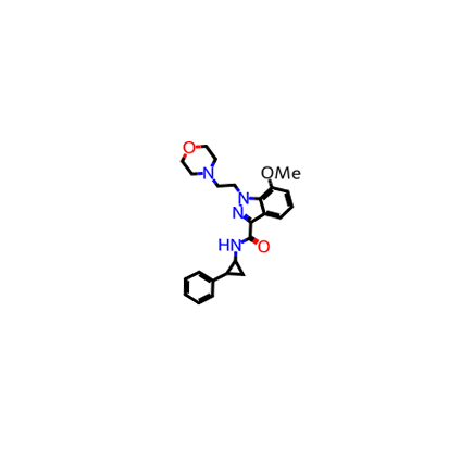 COc1cccc2c(C(=O)NC3CC3c3ccccc3)nn(CCN3CCOCC3)c12